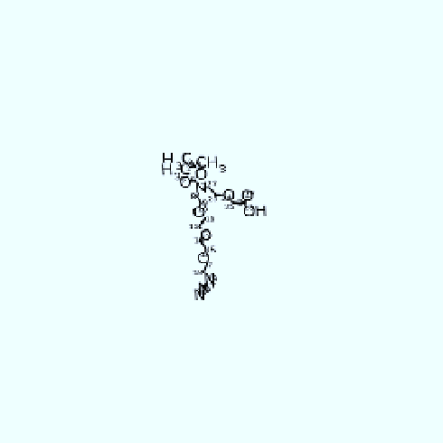 CC(C)(C)OC(=O)N(CCOCCOCCOCCN=[N+]=[N-])CCOCC(=O)O